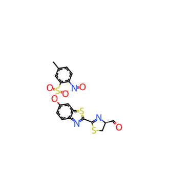 Cc1ccc(N=O)c(S(=O)(=O)Oc2ccc3nc(C4=N[C@@H](C=O)CS4)sc3c2)c1